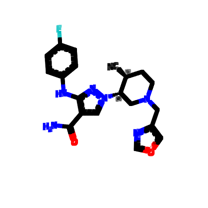 N#C[C@H]1CCN(Cc2cocn2)C[C@@H]1n1cc(C(N)=O)c(Nc2ccc(F)cc2)n1